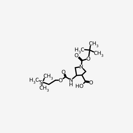 CC(C)(C)OC(=O)N1CC(NC(=O)OCC[Si](C)(C)C)C(C(=O)O)C1